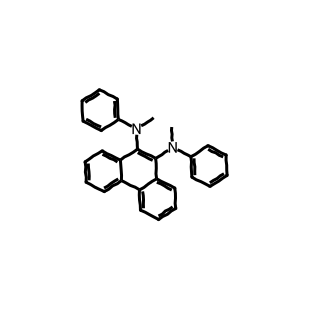 CN(c1ccccc1)c1c(N(C)c2ccccc2)c2ccccc2c2ccccc12